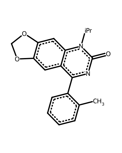 Cc1ccccc1-c1nc(=O)n(C(C)C)c2cc3c(cc12)OCO3